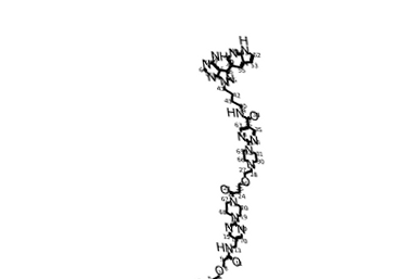 COCC(=O)NCCOCCC(=O)NCc1cnc(N2CCN(C(=O)CCOCCN3CCN(c4ncc(C(=O)NCCCCn5nc(-c6cnc7[nH]ccc7c6)c6c(N)ncnc65)cn4)CC3)CC2)nc1